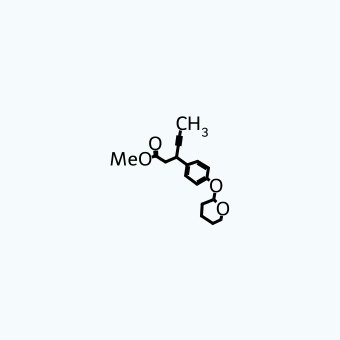 CC#CC(CC(=O)OC)c1ccc(OC2CCCCO2)cc1